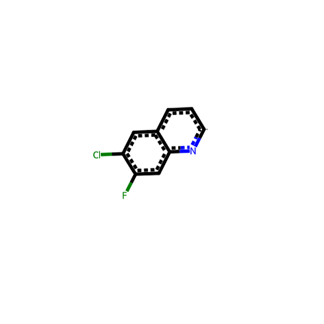 Fc1cc2n[c]ccc2cc1Cl